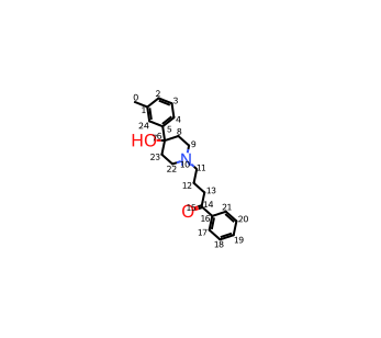 Cc1cccc(C2(O)CCN(CCCC(=O)c3ccccc3)CC2)c1